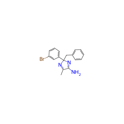 CC1=NC(Cc2ccccc2)(c2cccc(Br)c2)N=C1N